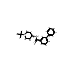 CC(C)(C)N1CCC(NC(=O)c2cccc(-c3ccccc3)c2)CC1